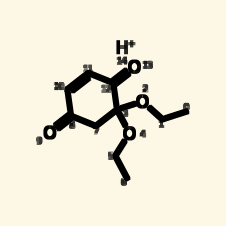 CCOC1(OCC)CC(=O)C=CC1=O.[H+]